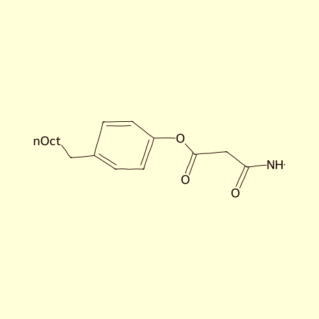 CCCCCCCCCc1ccc(OC(=O)CC([NH])=O)cc1